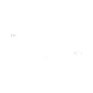 CC(C)(C)Cc1cc(O)co1